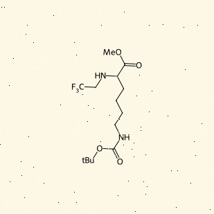 COC(=O)C(CCCCNC(=O)OC(C)(C)C)NCC(F)(F)F